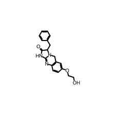 O=C1NC2=Nc3ccc(OCCO)cc3CN2C1Cc1ccccc1